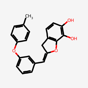 Cc1ccc(Oc2cccc(C=C3Cc4ccc(O)c(O)c4O3)c2)cc1